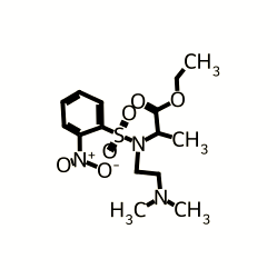 CCOC(=O)C(C)N(CCN(C)C)S(=O)(=O)c1ccccc1[N+](=O)[O-]